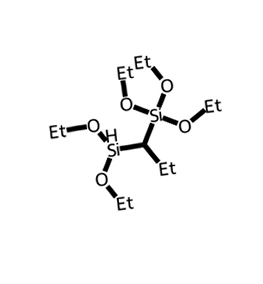 CCO[SiH](OCC)C(CC)[Si](OCC)(OCC)OCC